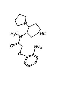 CN(C(=O)COc1ccccc1[N+](=O)[O-])C1CCCCC1N1CCCC1.Cl